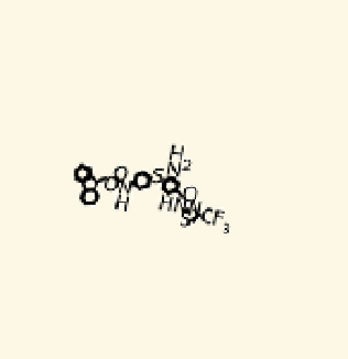 Nc1cc(C(=O)Nc2nc(C(F)(F)F)cs2)ccc1Sc1ccc(NC(=O)OCC2c3ccccc3-c3ccccc32)cc1